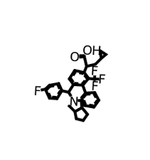 O=C(O)C(CC1CC1)c1ccc(C(c2ccc(F)cc2)N2CC3CCCC3C2)c(-c2ccccc2)c1C(F)(F)F